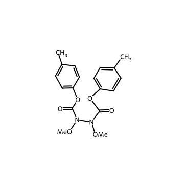 CON(C(=O)Oc1ccc(C)cc1)N(OC)C(=O)Oc1ccc(C)cc1